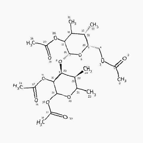 CC(=O)OC[C@@H]1O[C@H](O[C@@H]2C(OC(C)=O)C(OC(C)=O)OC(C)[C@@H]2C)C(OC(C)=O)C(C)[C@@H]1C